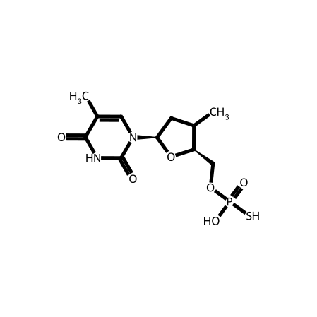 Cc1cn([C@H]2CC(C)[C@@H](COP(=O)(O)S)O2)c(=O)[nH]c1=O